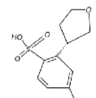 Cc1ccc(S(=O)(=O)O)c([C@@H]2CCOC2)c1